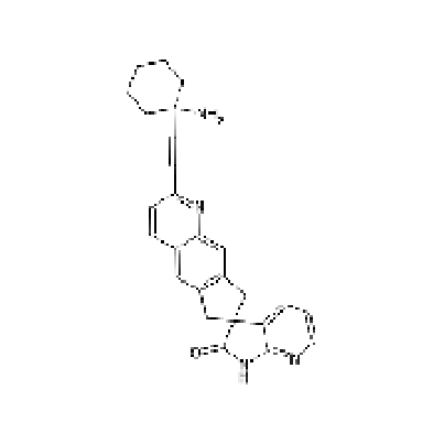 NC1(C#Cc2ccc3cc4c(cc3n2)CC2(C4)C(=O)Nc3ncccc32)CCCCC1